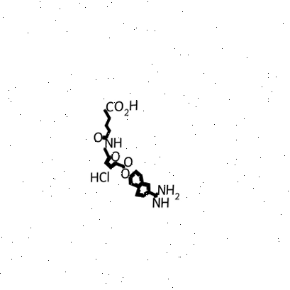 Cl.N=C(N)c1ccc2cc(OC(=O)c3ccc(CNC(=O)CCCCC(=O)O)o3)ccc2c1